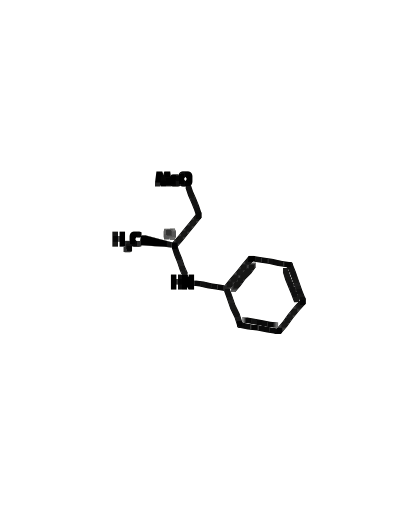 COC[C@H](C)Nc1ccccc1